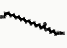 CCCCCCCC/C=C\CCCCCCCCCCCCCC(=O)OCCCCCCCCCCCCCC